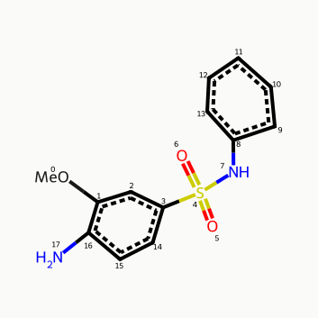 COc1cc(S(=O)(=O)Nc2ccccc2)ccc1N